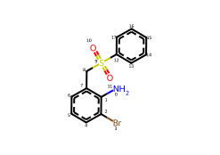 Nc1c(Br)cccc1CS(=O)(=O)c1ccccc1